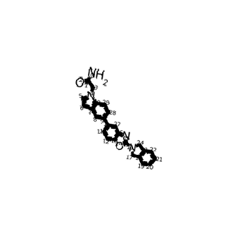 NC(=O)Cn1ccc2cc(-c3ccc4oc(N5Cc6ccccc6C5)nc4c3)ccc21